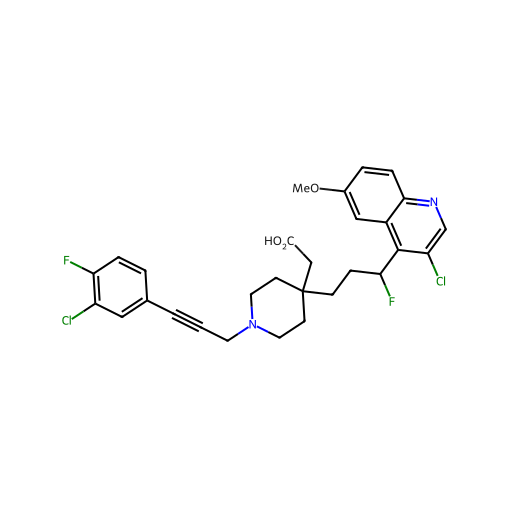 COc1ccc2ncc(Cl)c(C(F)CCC3(CC(=O)O)CCN(CC#Cc4ccc(F)c(Cl)c4)CC3)c2c1